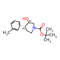 Cc1cccc([C@H]2CCN(C(=O)OC(C)(C)C)C[C@@H]2O)c1